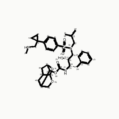 CNCC1(c2ccc(S(=O)(=O)N(CC(C)C)C[C@@H](O)[C@H](Cc3ccccc3)NC(=O)OC3C4COC5OC3CC5C4)cc2)CC1